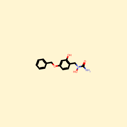 NC(=O)N(O)Cc1ccc(OCc2ccccc2)cc1O